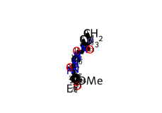 C=C/C=C\C1=C(C)CN(CC(=O)N2CCN(c3nc(-c4ccc(OCC)c(OC)c4)no3)CC2)C1=O